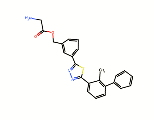 Cc1c(-c2ccccc2)cccc1-c1nnc(-c2cccc(COC(=O)CN)c2)s1